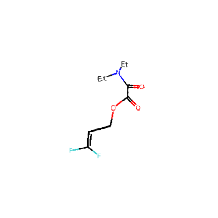 CCN(CC)C(=O)C(=O)OCC=C(F)F